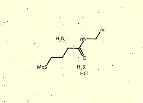 CSCC[C@H](N)C(=O)NCC(C)=O.Cl.S